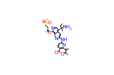 CCC(C)(N)c1cnc(O[C@H](C)CCS(C)(=O)=O)c2cnc(Nc3ccc4c(n3)[C@@H](C)[C@@H](C)OC4=O)cc12